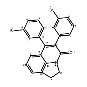 O=c1c(-c2cccc(Br)c2)c(-c2cccc(Br)c2)c2cccc3c2n1CC3